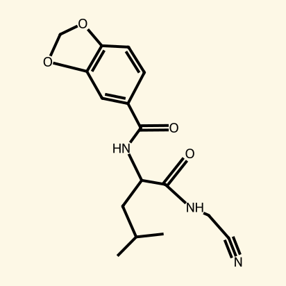 CC(C)CC(NC(=O)c1ccc2c(c1)OCO2)C(=O)NCC#N